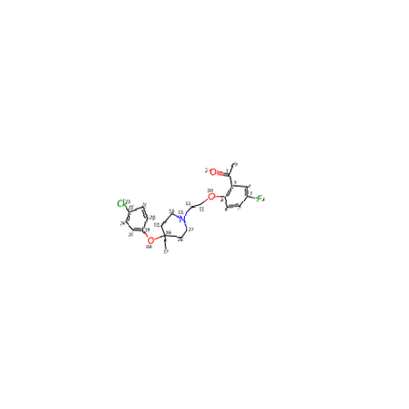 CC(=O)c1cc(F)ccc1OCCN1CCC(C)(Oc2ccc(Cl)cc2)CC1